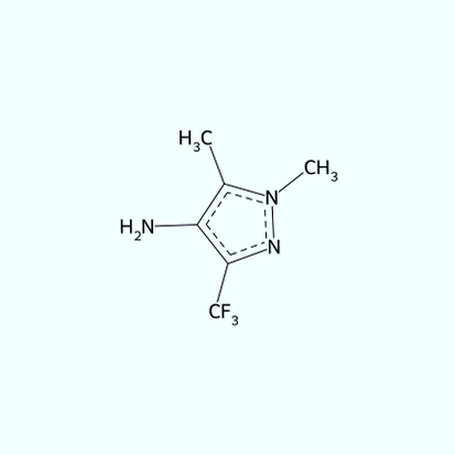 Cc1c(N)c(C(F)(F)F)nn1C